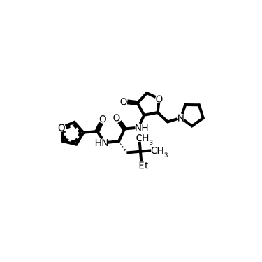 CCC(C)(C)C[C@H](NC(=O)c1ccoc1)C(=O)NC1C(=O)COC1CN1CCCC1